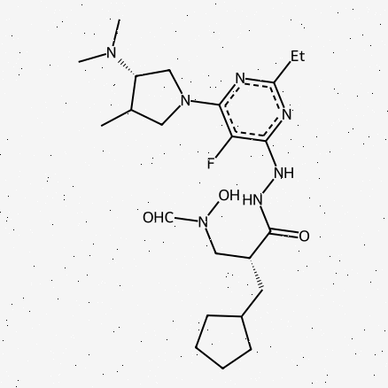 CCc1nc(NNC(=O)[C@H](CC2CCCC2)CN(O)C=O)c(F)c(N2CC(C)[C@H](N(C)C)C2)n1